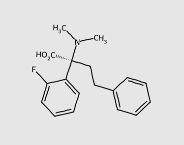 CN(C)[C@](CCc1ccccc1)(C(=O)O)c1ccccc1F